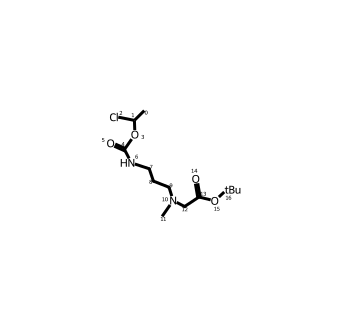 CC(Cl)OC(=O)NCCCN(C)CC(=O)OC(C)(C)C